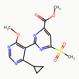 COC(=O)c1cc(S(C)(=O)=O)nc(-c2c(OC)ncnc2C2CC2)n1